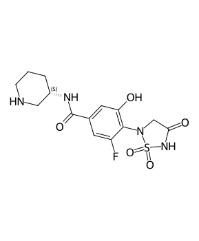 O=C1CN(c2c(O)cc(C(=O)N[C@H]3CCCNC3)cc2F)S(=O)(=O)N1